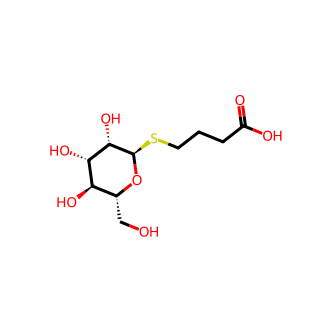 O=C(O)CCCS[C@H]1O[C@H](CO)[C@@H](O)[C@H](O)[C@@H]1O